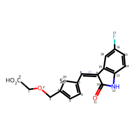 O=C(O)COCc1ccc(/C=C2\C(=O)Nc3ccc(F)cc32)[se]1